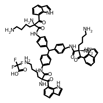 NCCCC[C@@](N)(C(=O)Nc1ccc(C(c2ccc(NC(=O)[C@](N)(CCCCN)C(=O)c3cccc4cc[nH]c34)cc2)c2ccc(NC(=O)[C@](N)(CCCCN)C(=O)c3cccc4cc[nH]c34)cc2)cc1)C(=O)c1cccc2cc[nH]c12.O=C(O)C(F)(F)F